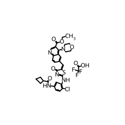 CCOC(=O)c1cnc2ccc(C=C3SC(Nc4cc(NC(=O)C5CCC5)ccc4Cl)=NC3=O)cc2c1N1CCOCC1.O=C(O)C(F)(F)F